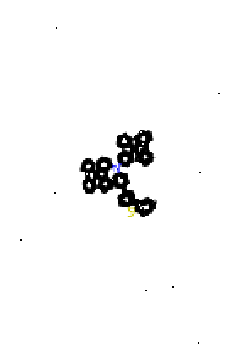 c1ccc(C2(c3ccc(N(c4ccc(-c5ccc6sc7ccccc7c6c5)cc4)c4cccc5c4-c4ccccc4C54c5ccccc5-c5ccccc54)cc3)c3ccccc3-c3ccccc32)cc1